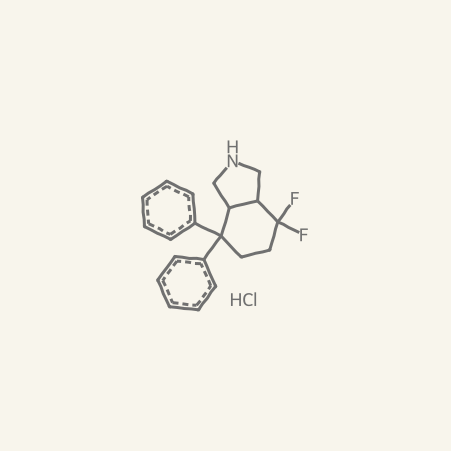 Cl.FC1(F)CCC(c2ccccc2)(c2ccccc2)C2CNCC21